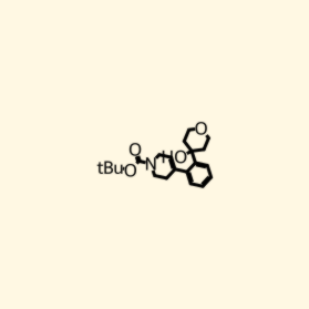 CC(C)(C)OC(=O)N1CC=C(c2ccccc2C2(O)CCOCC2)CC1